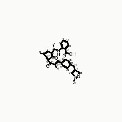 Cc1cc([C@@H](C)Nc2ccccc2C(=O)O)c2oc(-c3ccc(Cc4cnn(C)c4)cc3)c(C)c(=O)c2c1